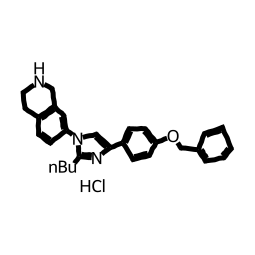 CCCCc1nc(-c2ccc(OCc3ccccc3)cc2)cn1-c1ccc2c(c1)CNCC2.Cl